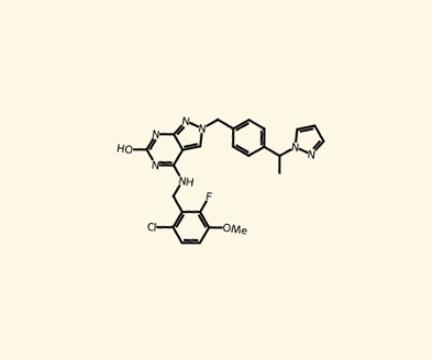 COc1ccc(Cl)c(CNc2nc(O)nc3nn(Cc4ccc(C(C)n5cccn5)cc4)cc23)c1F